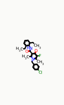 CCc1cccc(CC)c1NC(=O)c1c(C)n(Cc2ccc(Cl)cc2)c(C)c(F)c1=O